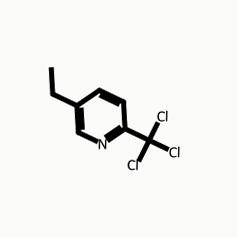 CCc1ccc(C(Cl)(Cl)Cl)nc1